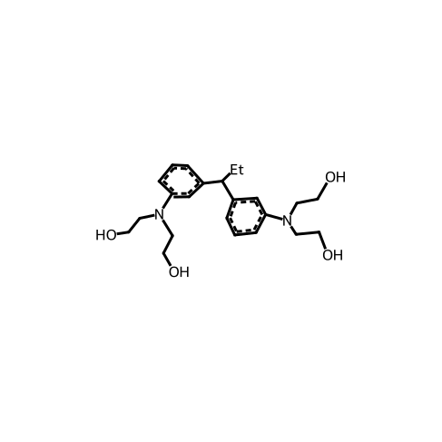 CCC(c1cccc(N(CCO)CCO)c1)c1cccc(N(CCO)CCO)c1